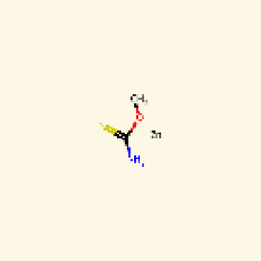 COC(N)=S.[Zn]